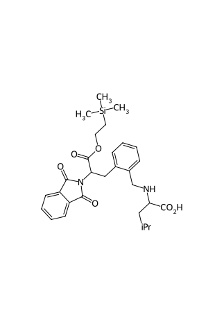 CC(C)CC(NCc1ccccc1CC(C(=O)OCC[Si](C)(C)C)N1C(=O)c2ccccc2C1=O)C(=O)O